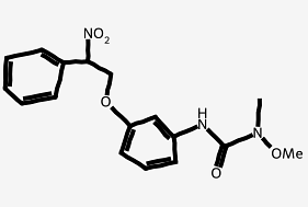 CON(C)C(=O)Nc1cccc(OCC(c2ccccc2)[N+](=O)[O-])c1